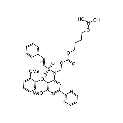 COc1ccccc1Oc1c(OC)nc(-c2ncccn2)nc1N(COC(=O)OCCCCON(O)O)S(=O)(=O)/C=C/c1ccccc1